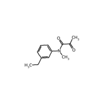 CCc1cccc(N(C)C(=O)C(C)=O)c1